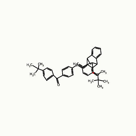 C=CC1=C(/C=C\C)C2c3ccccc3C1c1c(Oc3ccc(C(=O)c4ccc(C(C)(C)C)cc4)cc3)ccc(OC(C)(C)C)c12